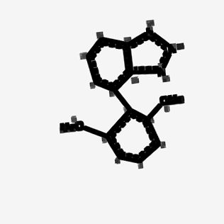 COc1cccc(OC)c1-c1cccc2snnc12